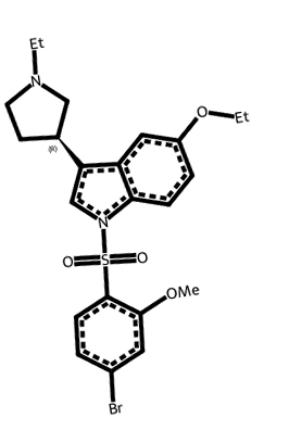 CCOc1ccc2c(c1)c([C@H]1CCN(CC)C1)cn2S(=O)(=O)c1ccc(Br)cc1OC